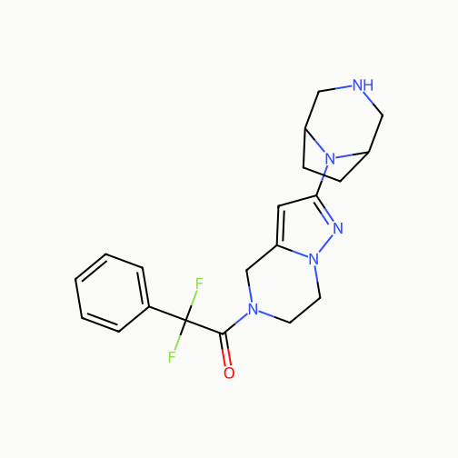 O=C(N1CCn2nc(N3C4CCC3CNC4)cc2C1)C(F)(F)c1ccccc1